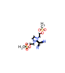 CS(=O)(=O)OCCN1CCN(CCOS(C)(=O)=O)C1=C(C#N)C#N